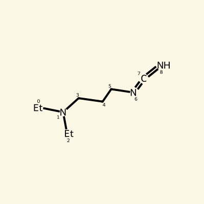 CCN(CC)CCCN=C=N